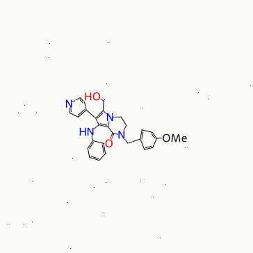 COc1ccc(CN2CCn3c(CO)c(-c4ccncc4)c(Nc4ccccc4)c3C2=O)cc1